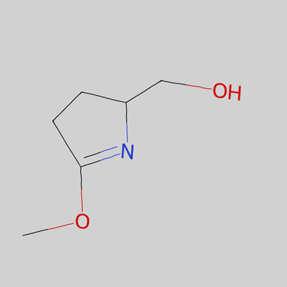 COC1=NC(CO)CC1